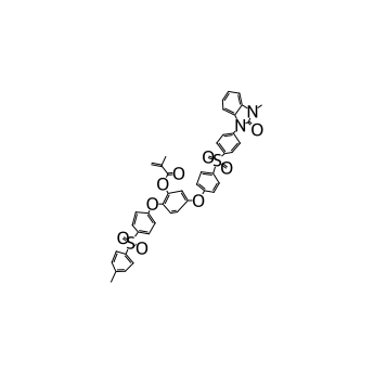 C=C(C)C(=O)Oc1cc(Oc2ccc(S(=O)(=O)c3ccc(-n4c(=O)n(C)c5ccccc54)cc3)cc2)ccc1Oc1ccc(S(=O)(=O)c2ccc(C)cc2)cc1